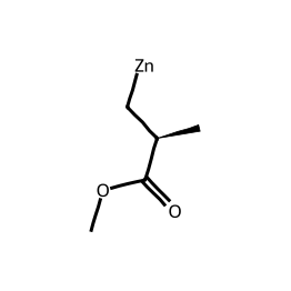 COC(=O)[C@H](C)[CH2][Zn]